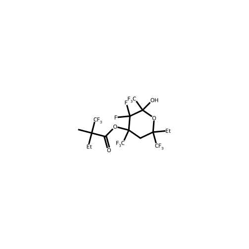 CCC1(C(F)(F)F)CC(OC(=O)C(C)(CC)C(F)(F)F)(C(F)(F)F)C(F)(F)C(O)(C(F)(F)F)O1